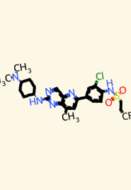 Cc1cc(-c2ccc(NS(=O)(=O)CCC(F)(F)F)c(Cl)c2)nc2cnc(N[C@H]3CC[C@H](N(C)C)CC3)nc12